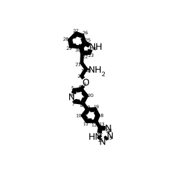 N[C@H](COc1cncc(-c2ccc(-c3nnn[nH]3)cc2)c1)Cc1c[nH]c2ccccc12